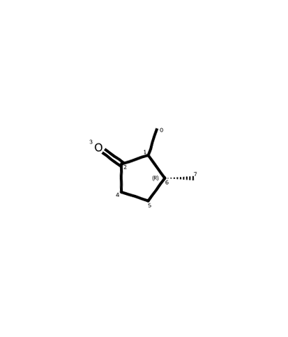 CC1C(=O)CC[C@H]1C